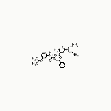 CC(C)Oc1cccc(NC(=O)[C@H](CCc2ccccc2)NC(=O)C(N)CC(=O)N(CCN)CCN)c1